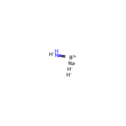 C=N.[B+3].[H-].[H-].[H-].[Na]